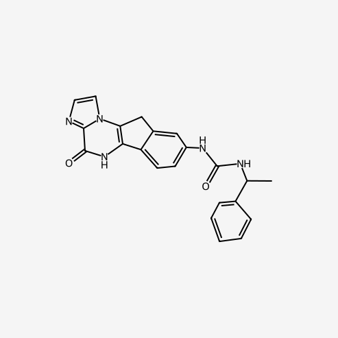 CC(NC(=O)Nc1ccc2c(c1)Cc1c-2[nH]c(=O)c2nccn12)c1ccccc1